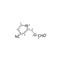 N#Cc1ccnc(COC=O)c1